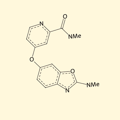 CNC(=O)c1cc(Oc2ccc3nc(NC)oc3c2)ccn1